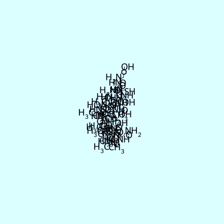 CC[C@H](C)[C@H](NC(=O)[C@H](CO)NC(=O)[C@H](CC(C)C)NC(=O)[C@@H](NC(=O)[C@H](CCC(=O)O)NC(=O)[C@H](CC(N)=O)NC(=O)[C@H](CO)NC(=O)[C@H](CS)NC(=O)[C@H](CC(N)=O)NC(=O)[C@@H](N)Cc1ccc(O)cc1)C(C)C)C(=O)N[C@H](C(=O)N[C@@H](C)C(=O)N(C)[C@H](C(=O)N[C@@H](CO)C(=O)N[C@H](C(=O)N1CCC[C@H]1C(=O)N[C@@H](CCC(N)=O)C(=O)N[C@@H](CS)C(=O)N[C@@H](Cc1ccccc1)C(=O)O)C(C)C)C(C)(C)C)[C@@H](C)O